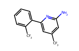 Nc1cc(C(F)(F)F)cc(-c2ccccc2C(F)(F)F)n1